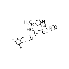 COc1ccc2ncc(CN3CCOCC3)c([C@H](O)CCC3(CO)CCN(CCCc4c(F)cc(F)cc4F)CC3)c2c1